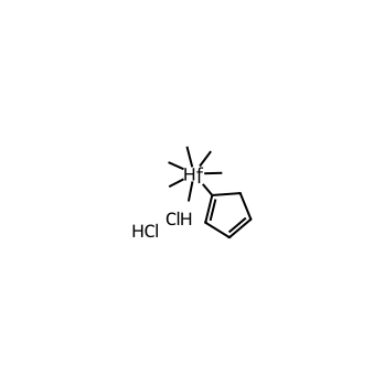 Cl.Cl.[CH3][Hf]([CH3])([CH3])([CH3])([CH3])([CH3])[C]1=CC=CC1